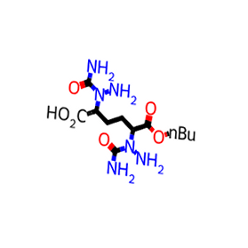 CCCCOC(=O)C(CCC(C(=O)O)N(N)C(N)=O)N(N)C(N)=O